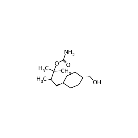 CC(C[C@H]1CC[C@H](CO)CC1)C(C)(C)OC(N)=O